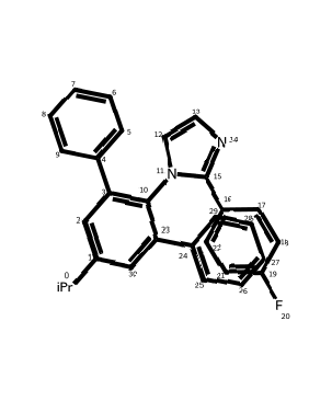 CC(C)c1cc(-c2ccccc2)c(-n2ccnc2-c2ccc(F)cc2)c(-c2ccccc2)c1